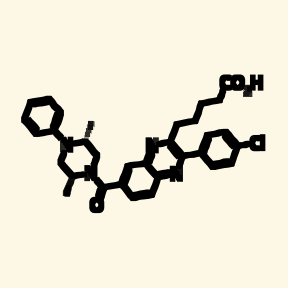 C[C@@H]1CN(C(=O)c2ccc3nc(-c4ccc(Cl)cc4)c(CCCCC(=O)O)nc3c2)[C@@H](C)CN1c1ccccc1